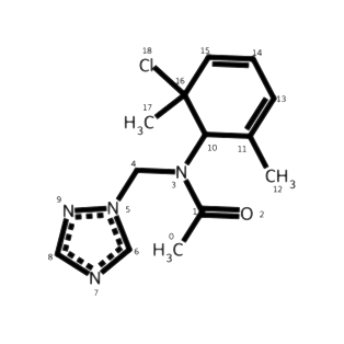 CC(=O)N(Cn1cncn1)C1C(C)=CC=CC1(C)Cl